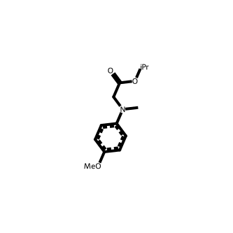 COc1ccc(N(C)CC(=O)OC(C)C)cc1